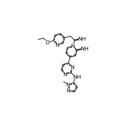 CCOc1ccc(CC(=N)n2ccc(-c3ccnc(Nc4ccnn4C)n3)cc2=N)cn1